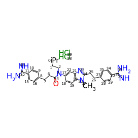 CC(C)CCN(C(=O)CCc1ccc(C(=N)N)cc1)c1ccc2c(c1)nc(CCc1ccc(C(=N)N)cc1)n2C.Cl.Cl